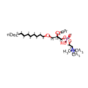 CCCCCCCCCCCCCCCCCCOC[C@H](COP(=O)(O)OCC[N+](C)(C)C)OCCC